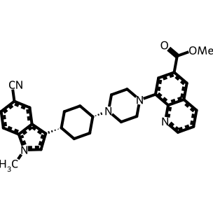 COC(=O)c1cc(N2CCN([C@H]3CC[C@@H](c4cn(C)c5ccc(C#N)cc54)CC3)CC2)c2ncccc2c1